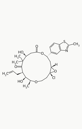 C=CC[C@H]1C(=O)C(C)(C)[C@@H](O)CC(=O)O[C@H](c2ccc3sc(C)nc3c2)C[C@@H]2O[C@]2(Cl)CCO[C@@H](C)[C@H]1O